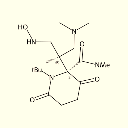 CNC(=O)[C@]1([C@@](C)(CNO)CN(C)C)C(=O)CCC(=O)N1C(C)(C)C